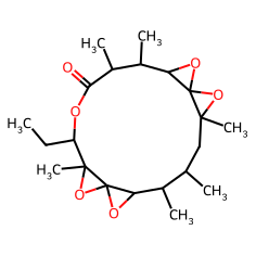 CCC1OC(=O)C(C)C(C)C2OC23OC3(C)CC(C)C(C)C2OC23OC13C